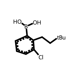 CC(C)(C)CCc1c(Cl)cccc1B(O)O